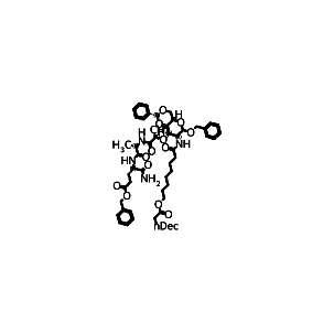 CCCCCCCCCCCC(=O)OCCCCCCCC(=O)N[C@H]1C(OCc2ccccc2)O[C@@H]2CO[C@@H](c3ccccc3)O[C@H]2[C@@H]1O[C@H](C)C(=O)N[C@@H](C)C(=O)N[C@H](CCC(=O)OCc1ccccc1)C(N)=O